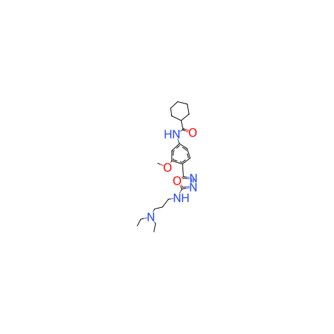 CCN(CC)CCCNc1nnc(-c2ccc(NC(=O)C3CCCCC3)cc2OC)o1